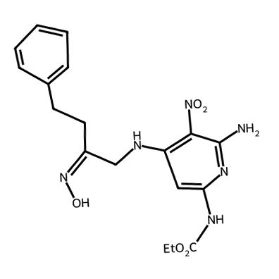 CCOC(=O)Nc1cc(NC/C(CCc2ccccc2)=N\O)c([N+](=O)[O-])c(N)n1